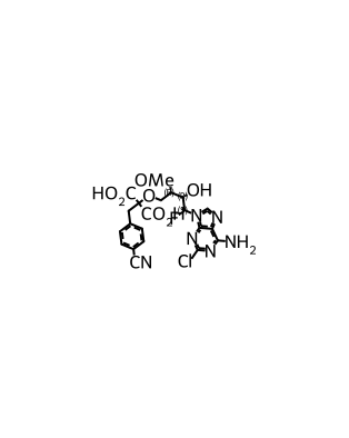 CO[C@H](COC(Cc1ccc(C#N)cc1)(C(=O)O)C(=O)O)[C@@H](O)[C@H](F)n1cnc2c(N)nc(Cl)nc21